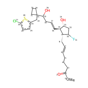 COC(=O)CCCC=CC[C@H]1C(F)C[C@@H](O)[C@@H]1/C=C/CC(O)C1(Cc2ccc(Cl)s2)CCC1